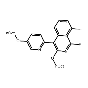 CCCCCCCCOc1ccc(-c2c(OCCCCCCCC)nc(F)c3c(F)cccc23)nc1